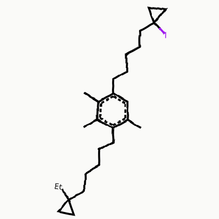 CCC1(CCCCCc2c(C)cc(CCCCCC3(I)CC3)c(C)c2C)CC1